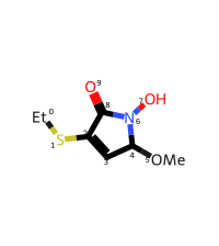 CCSC1=CC(OC)N(O)C1=O